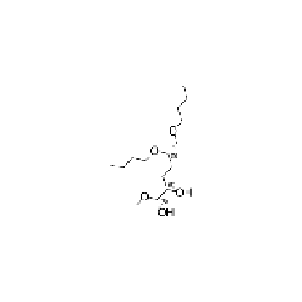 CCCCOC[C@H](CC[C@@H](O)[C@H](O)OC)OCCCC